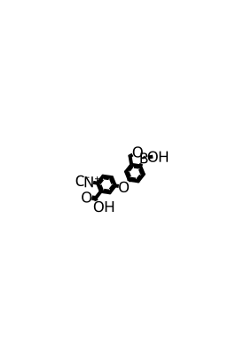 [C-]#[N+]c1ccc(Oc2ccc3c(c2)COB3O)cc1C(=O)O